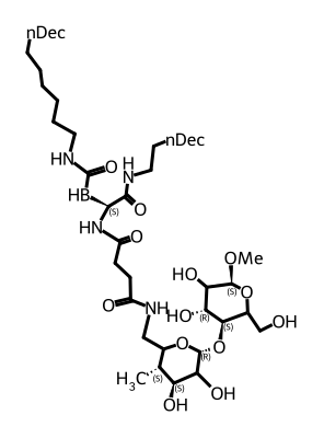 CCCCCCCCCCCCCCCCNC(=O)B[C@H](NC(=O)CCC(=O)NCC1O[C@H](O[C@@H]2C(CO)O[C@H](OC)C(O)[C@H]2O)C(O)[C@@H](O)[C@@H]1C)C(=O)NCCCCCCCCCCCC